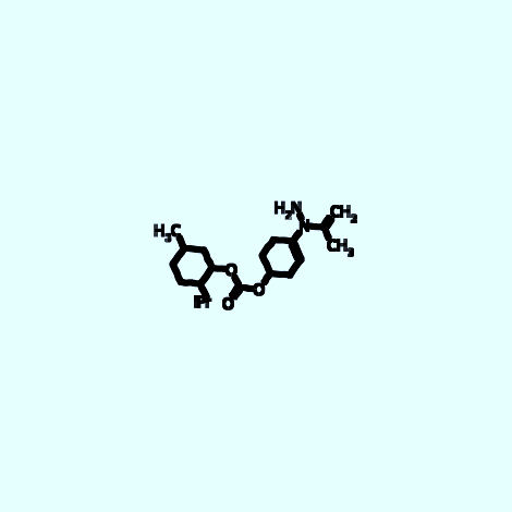 C=C(C)N(N)C1=CCC(OC(=O)OC2CC(C)CCC2C(C)C)CC1